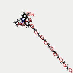 COCCOCCOCCOCCOCCOCCOCCOCCOC1CC[C@@]2(O)C3Cc4ccc(O)c5c4[C@@]2(CCN3CC2CCC2)[C@H]1O5